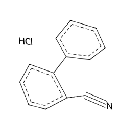 Cl.N#Cc1ccccc1-c1ccccc1